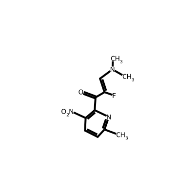 Cc1ccc([N+](=O)[O-])c(C(=O)/C(F)=C/N(C)C)n1